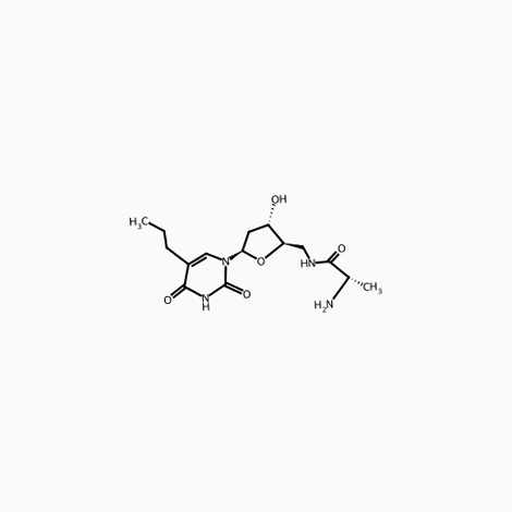 CCCc1cn([C@H]2C[C@H](O)[C@@H](CNC(=O)[C@H](C)N)O2)c(=O)[nH]c1=O